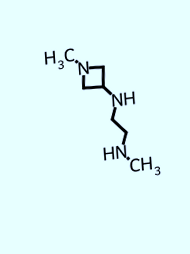 CNCCNC1CN(C)C1